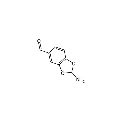 NC1Oc2ccc(C=O)cc2O1